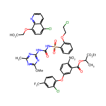 CCOC(=O)C(C)OC(=O)c1cc(Oc2ccc(C(F)(F)F)cc2Cl)ccc1[N+](=O)[O-].COc1nc(C)nc(NC(=O)NS(=O)(=O)c2ccccc2OCCCl)n1.O=C(O)COc1ccc(Cl)c2cccnc12